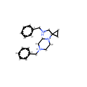 c1ccc(CNCC2(N3CCN(Cc4ccccc4)CC3)CC2)cc1